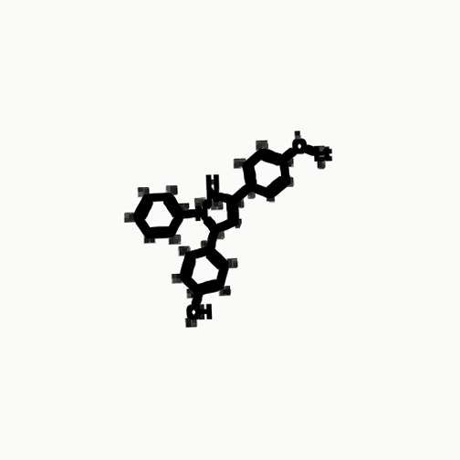 CCOc1ccc(C2=CC(c3ccc(O)cc3)N(c3ccccc3)N2)cc1